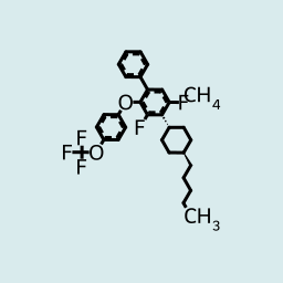 C.CCCCC[C@H]1CC[C@H](c2c(F)cc(-c3ccccc3)c(Oc3ccc(OC(F)(F)F)cc3)c2F)CC1